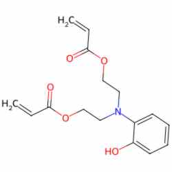 C=CC(=O)OCCN(CCOC(=O)C=C)c1ccccc1O